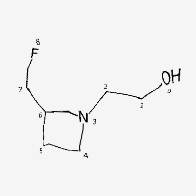 OCCN1CCC1CF